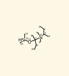 CCC(C)[Si](C)(C)C(C)(CC)O[SiH](C)C